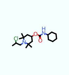 CC(Cl)CN1C(C)(C)CC(OC(=O)NC2CCCCC2)CC1(C)C